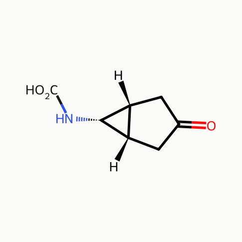 O=C1C[C@@H]2[C@H](C1)[C@@H]2NC(=O)O